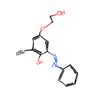 CC(C)(C)c1cc(OCCO)cc(N=Nc2ccccc2)c1O